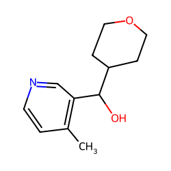 Cc1ccncc1C(O)C1CCOCC1